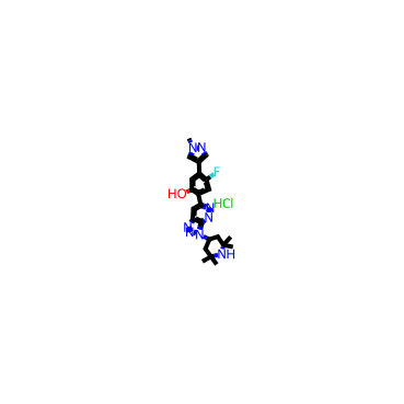 Cl.Cn1cc(-c2cc(O)c(-c3cc4nnn(C5CC(C)(C)NC(C)(C)C5)c4nn3)cc2F)cn1